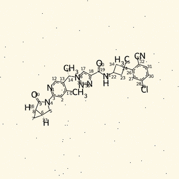 Cc1cc(N2C[C@H]3C[C@H]3C2=O)ncc1[C@H](C)n1cc(C(=O)NC2CC(C)(c3cc(Cl)ccc3C#N)C2)nn1